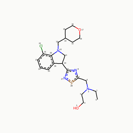 CCN(CCO)Cc1nc(C2CN(CC3CCOCC3)c3c(Cl)cccc32)ns1